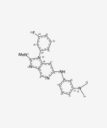 CNc1nc2cnc(Nc3cccc(N(C)C)c3)cc2n1-c1cccc(F)c1